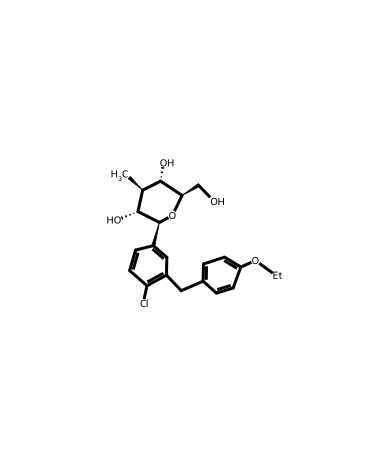 CCOc1ccc(Cc2cc([C@@H]3O[C@H](CO)[C@@H](O)[C@H](C)[C@H]3O)ccc2Cl)cc1